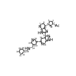 CC(=O)c1ccc(-c2ccnc3[nH]c(-c4n[nH]c5cnc(-c6cncc(CNCc7ccccc7)c6)cc45)nc23)s1